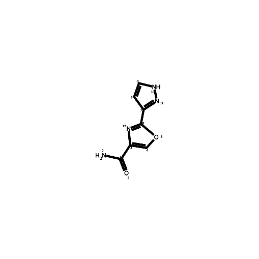 NC(=O)c1coc(-c2cc[nH]n2)n1